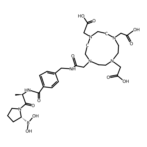 C[C@@H](NC(=O)c1ccc(CNC(=O)CN2CCN(CC(=O)O)CCN(CC(=O)O)CCN(CC(=O)O)CC2)cc1)C(=O)N1CCC[C@H]1B(O)O